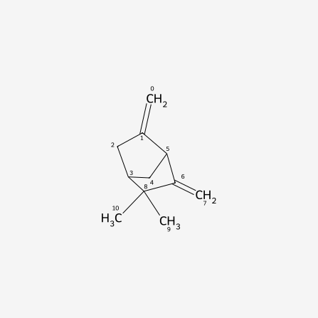 C=C1CC2CC1C(=C)C2(C)C